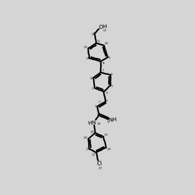 N=C(/C=C/c1ccc(-c2ccc(CO)cc2)cc1)Nc1ccc(Cl)cc1